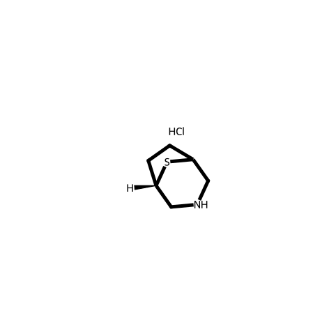 C1C[C@H]2CNCC1S2.Cl